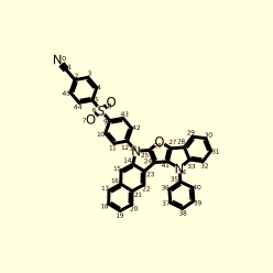 N#Cc1ccc(S(=O)(=O)c2ccc(-n3c4cc5ccccc5cc4c4c3oc3c5ccccc5n(-c5ccccc5)c34)cc2)cc1